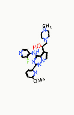 COc1cccc(-c2nc(Nc3ccncc3F)c3c(C(O)CN4CCN(C)CC4)ccn3n2)n1